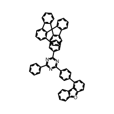 c1ccc(-c2nc(-c3ccc(-c4cccc5oc6ccccc6c45)cc3)nc(-c3cccc(-c4cccc5c4C4(c6ccccc6-c6ccccc64)c4ccccc4-5)c3)n2)cc1